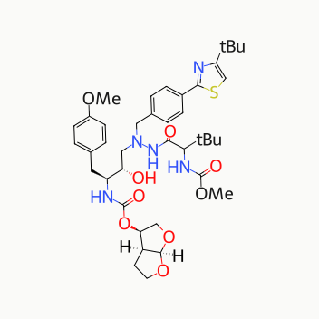 COC(=O)NC(C(=O)NN(Cc1ccc(-c2nc(C(C)(C)C)cs2)cc1)C[C@H](O)[C@H](Cc1ccc(OC)cc1)NC(=O)O[C@H]1CO[C@H]2OCC[C@H]21)C(C)(C)C